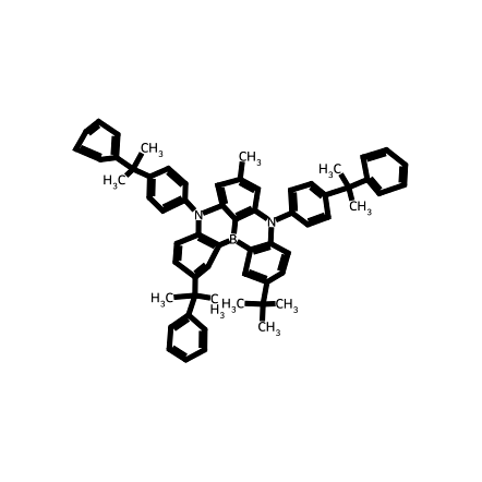 Cc1cc2c3c(c1)N(c1ccc(C(C)(C)c4ccccc4)cc1)c1ccc(C(C)(C)c4ccccc4)cc1B3c1cc(C(C)(C)C)ccc1N2c1ccc(C(C)(C)c2ccccc2)cc1